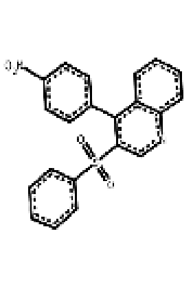 O=[N+]([O-])c1ccc(-c2c(S(=O)(=O)c3ccccc3)cnc3ccccc23)cc1